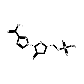 NC(=S)c1ncn([C@@H]2O[C@H](COS(N)(=O)=O)CC2=O)n1